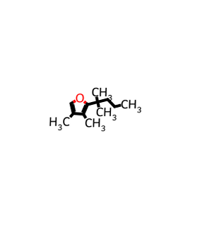 CCCC(C)(C)c1occ(C)c1C